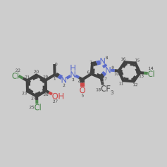 C/C(=N\NC(=O)c1cnn(-c2ccc(Cl)cc2)c1C(F)(F)F)c1cc(Cl)cc(Cl)c1O